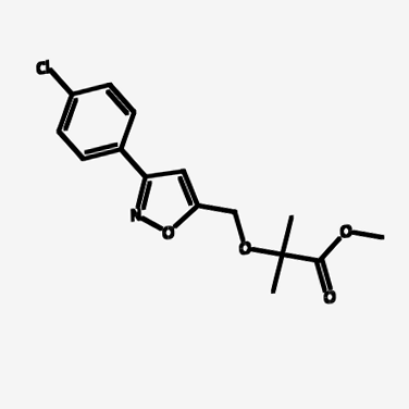 COC(=O)C(C)(C)OCc1cc(-c2ccc(Cl)cc2)no1